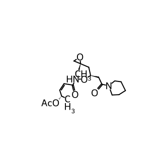 CC(=O)O[C@@H](C)/C=C\C(=O)NO[C@H](CC(=O)N1CCCCC1)C[C@]1(C)CO1